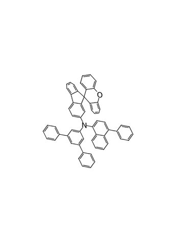 c1ccc(-c2cc(-c3ccccc3)cc(N(c3ccc4c(c3)C3(c5ccccc5Oc5ccccc53)c3ccccc3-4)c3ccc(-c4ccccc4)c4ccccc34)c2)cc1